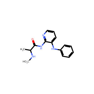 CC(NC(=O)O)C(=O)Nc1ncccc1Nc1ccccc1